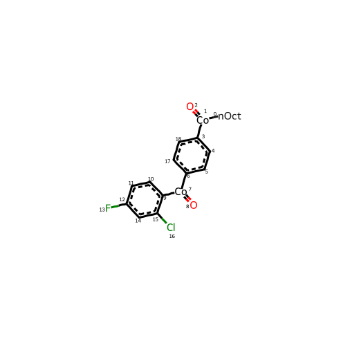 CCCCCCC[CH2][Co](=[O])[c]1cc[c]([Co](=[O])[c]2ccc(F)cc2Cl)cc1